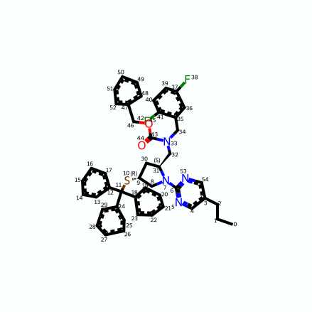 CCCc1cnc(N2C[C@H](SC(c3ccccc3)(c3ccccc3)c3ccccc3)C[C@H]2CN(Cc2cc(F)ccc2F)C(=O)OCc2ccccc2)nc1